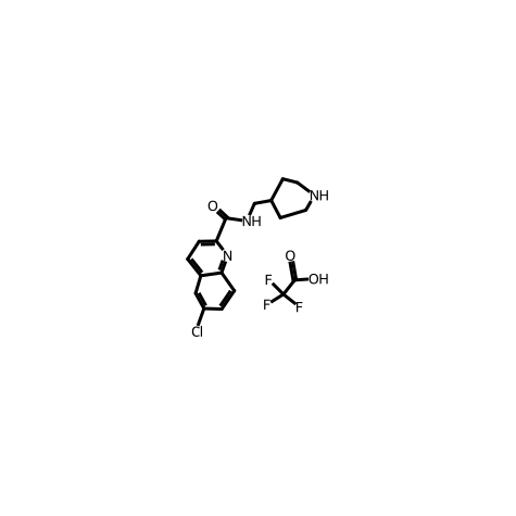 O=C(NCC1CCNCC1)c1ccc2cc(Cl)ccc2n1.O=C(O)C(F)(F)F